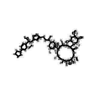 CC[C@H]1OC(=O)[C@H](C)[C@@H](O[C@H]2C[C@@](C)(OC)[C@@H](O)[C@H](C)O2)[C@H](C)[C@@H](O[C@H]2C[C@@H](N(C)CCc3cn([C@H](CF)[C@H](OC)c4ccc(N5CCCC5)cc4)nn3)C[C@@H](C)O2)[C@](C)(O)C[C@@H](C)CN(C)[C@H](C)[C@@H](O)[C@]1(C)O